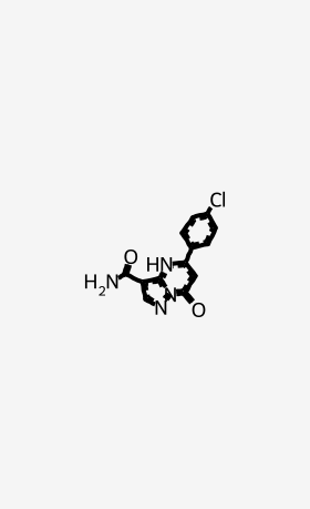 NC(=O)c1cnn2c(=O)cc(-c3ccc(Cl)cc3)[nH]c12